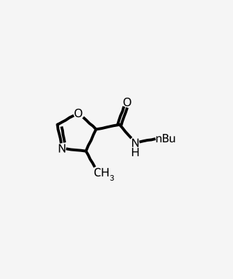 CCCCNC(=O)C1OC=NC1C